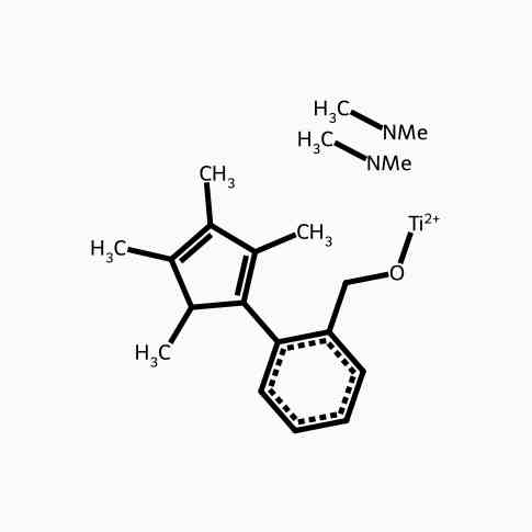 CC1=C(C)C(C)C(c2ccccc2C[O][Ti+2])=C1C.C[N-]C.C[N-]C